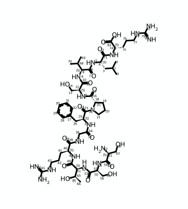 CC(C)C[C@H](NC(=O)[C@@H](NC(=O)[C@H](CO)NC(=O)[C@@H]1CCCN1C(=O)[C@H](Cc1ccccc1)NC(=O)CNC(=O)[C@H](CCCNC(=N)N)NC(=O)[C@@H](NC(=O)[C@H](CO)NC(=O)[C@@H](N)CO)[C@@H](C)O)C(C)C)C(=O)N[C@@H](CCCNC(=N)N)C(=O)O